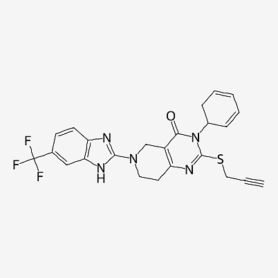 C#CCSc1nc2c(c(=O)n1C1C=CC=CC1)CN(c1nc3ccc(C(F)(F)F)cc3[nH]1)CC2